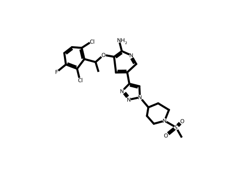 CC(Oc1cc(-c2cn(C3CCN(S(C)(=O)=O)CC3)nn2)cnc1N)c1c(Cl)ccc(F)c1Cl